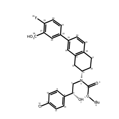 CC(C)(C)OC(=O)N(C[C@H](O)c1ccc(Cl)cc1)[C@H]1CCc2ccc(-c3ccc(F)c(C(=O)O)c3)cc2C1